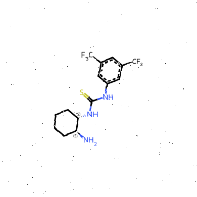 N[C@H]1CCCC[C@@H]1NC(=S)Nc1cc(C(F)(F)F)cc(C(F)(F)F)c1